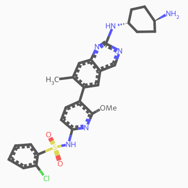 COc1nc(NS(=O)(=O)c2ccccc2Cl)ccc1-c1cc2cnc(N[C@H]3CC[C@H](N)CC3)nc2cc1C